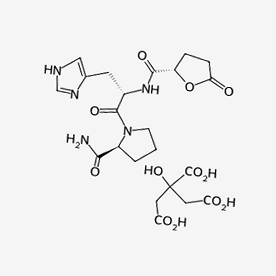 NC(=O)[C@@H]1CCCN1C(=O)[C@H](Cc1c[nH]cn1)NC(=O)[C@@H]1CCC(=O)O1.O=C(O)CC(O)(CC(=O)O)C(=O)O